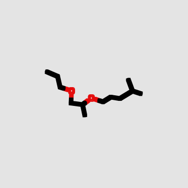 CCCOCC(C)OCCCC(C)C